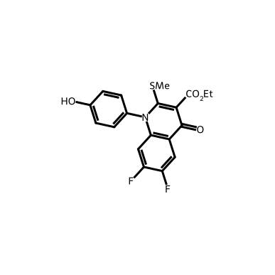 CCOC(=O)c1c(SC)n(-c2ccc(O)cc2)c2cc(F)c(F)cc2c1=O